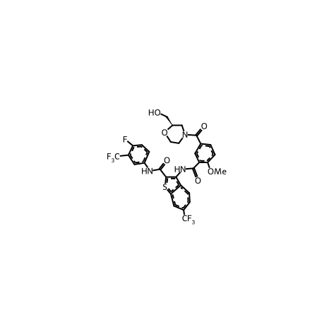 COc1ccc(C(=O)N2CCO[C@@H](CO)C2)cc1C(=O)Nc1c(C(=O)Nc2ccc(F)c(C(F)(F)F)c2)sc2cc(C(F)(F)F)ccc12